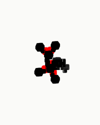 CC(C)(C)[Si](C)(C)Oc1cc(OCc2ccccc2)cc(OCc2ccccc2)c1C/C=C/c1ccc(OCc2ccccc2)c(OCc2ccccc2)c1